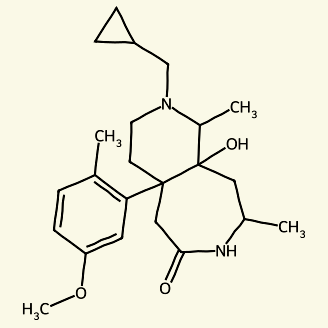 COc1ccc(C)c(C23CCN(CC4CC4)C(C)C2(O)CC(C)NC(=O)C3)c1